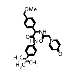 COCc1ccc(C(NC(=O)Cn2ccc(=O)cc2)C(=O)Nc2ccc(S(C)(C)C)cc2)cc1